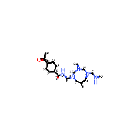 CNCN1CC(C)CN(CNC(=O)C2CCC(C(C)=O)CC2)CN(C)C1